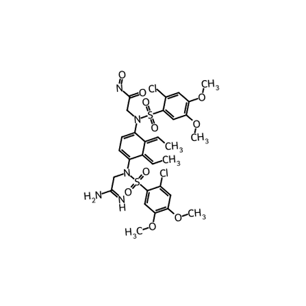 C/C=c1/c(N(CC(=N)N)S(=O)(=O)c2cc(OC)c(OC)cc2Cl)ccc(N(CC(=O)N=O)S(=O)(=O)c2cc(OC)c(OC)cc2Cl)/c1=C/C